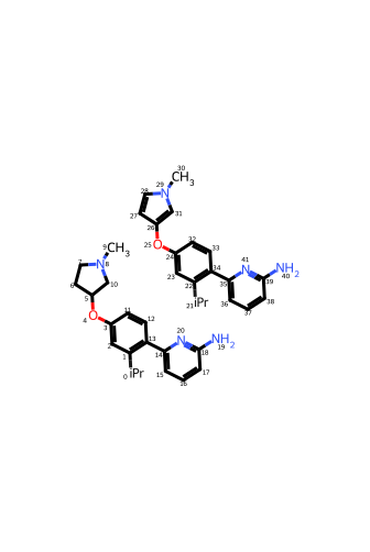 CC(C)c1cc(OC2CCN(C)C2)ccc1-c1cccc(N)n1.CC(C)c1cc(Oc2ccn(C)c2)ccc1-c1cccc(N)n1